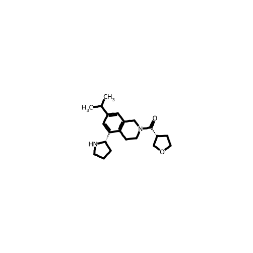 CC(C)c1cc2c(c([C@@H]3CCCN3)c1)CCN(C(=O)[C@@H]1CCOC1)C2